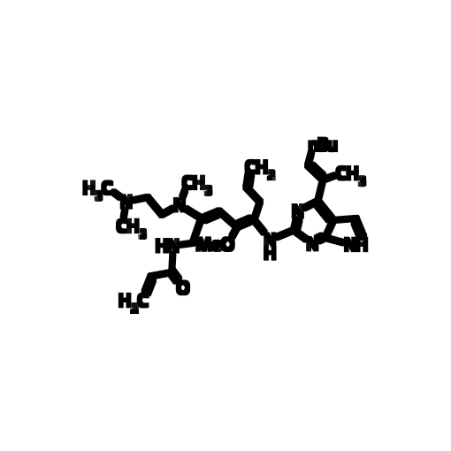 C=CC/C(Nc1nc(/C(C)=C/CCCC)c2cc[nH]c2n1)=C(\C=C(/CNC(=O)C=C)N(C)CCN(C)C)OC